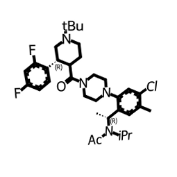 CC(=O)N(C(C)C)[C@H](C)c1cc(C)c(Cl)cc1N1CCN(C(=O)C2CCN(C(C)(C)C)C[C@H]2c2ccc(F)cc2F)CC1